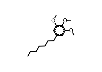 CCCCCCCc1cc(OC)c(OC)c(OC)c1